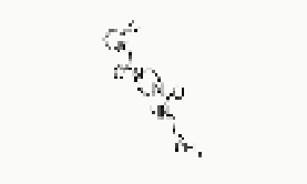 CCCCNC(=O)N1CCN(C(=O)CN2CCCC2=O)CC1